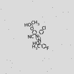 C[C@H](O)COc1ccc(N2CCN(C[C@@](C)(O)c3ccc(F)cc3)C[C@H]2c2ccc(Cl)cc2)c(C#N)c1